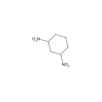 O=[N+]([O-])C1C[CH]CC([N+](=O)[O-])C1